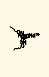 CCCCCC1=CC2=NC(c3cccc(C4=NC5C=CC(CCCCC)=CC5=N4)n3)=NC2C=C1.[Cl-].[Cl-].[Cl-].[Nd+3]